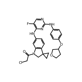 O=C(CCl)N1CC2(CC2)c2ccc(Nc3nc(Nc4ccc(OC5CCOC5)cc4)ncc3F)cc21